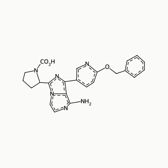 Nc1nccn2c(C3CCCN3C(=O)O)nc(-c3ccc(OCc4ccccc4)nc3)c12